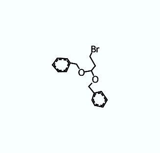 BrCCC(OCc1ccccc1)OCc1ccccc1